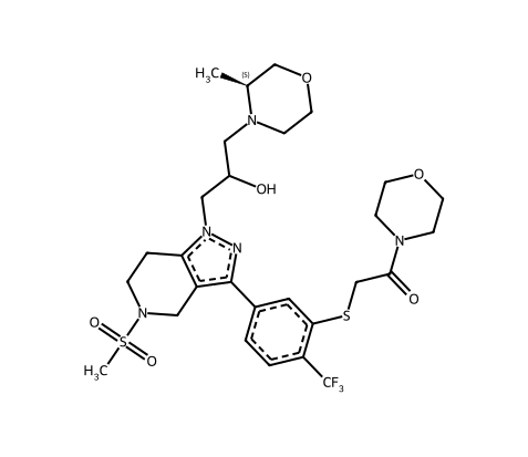 C[C@H]1COCCN1CC(O)Cn1nc(-c2ccc(C(F)(F)F)c(SCC(=O)N3CCOCC3)c2)c2c1CCN(S(C)(=O)=O)C2